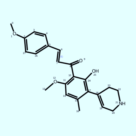 COc1ccc(/C=C/C(=O)c2c(OC)cc(C)c(C3=CCNCC3)c2O)cc1